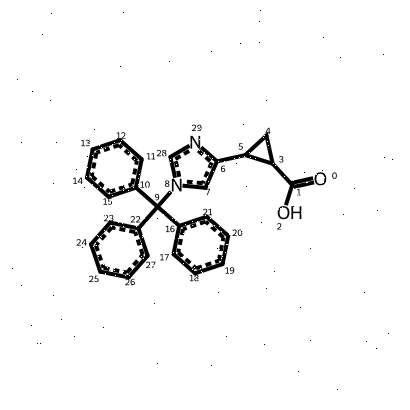 O=C(O)C1CC1c1cn(C(c2ccccc2)(c2ccccc2)c2ccccc2)cn1